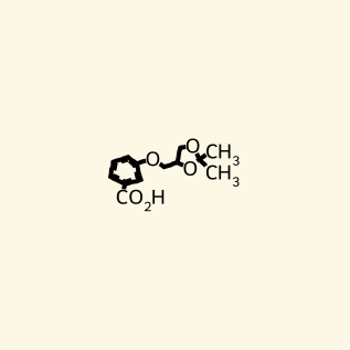 CC1(C)OCC(COc2cccc(C(=O)O)c2)O1